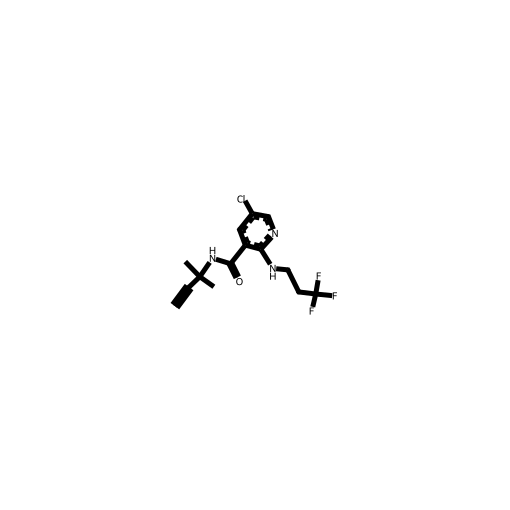 C#CC(C)(C)NC(=O)c1cc(Cl)cnc1NCCC(F)(F)F